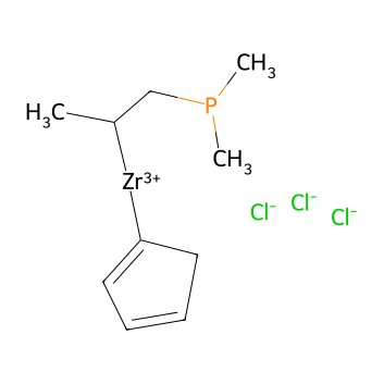 C[CH](CP(C)C)[Zr+3][C]1=CC=CC1.[Cl-].[Cl-].[Cl-]